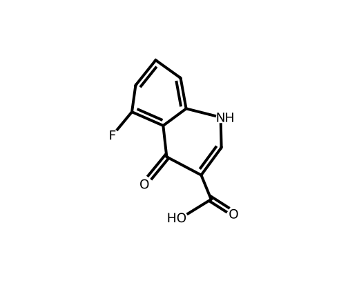 O=C(O)c1c[nH]c2cccc(F)c2c1=O